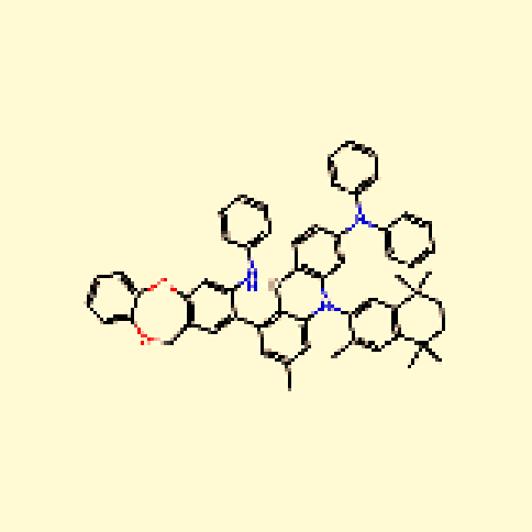 Cc1cc(-c2cc3c(cc2Nc2ccccc2)Oc2ccccc2OC3)c2c(c1)N(c1cc3c(cc1C)C(C)(C)CCC3(C)C)c1cc(N(c3ccccc3)c3ccccc3)ccc1B2